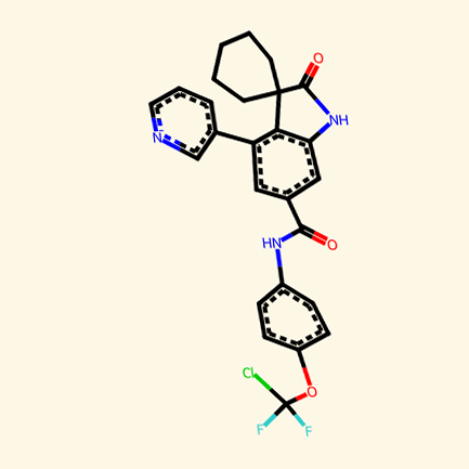 O=C(Nc1ccc(OC(F)(F)Cl)cc1)c1cc2c(c(-c3cccnc3)c1)C1(CCCCC1)C(=O)N2